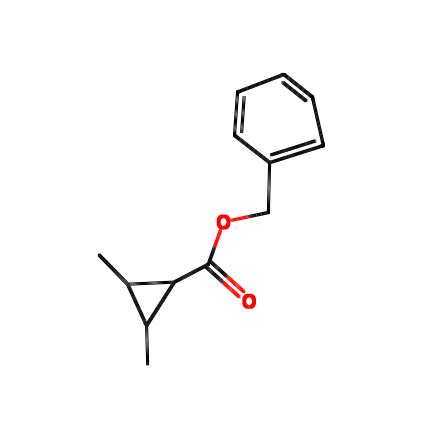 CC1C(C)C1C(=O)OCc1ccccc1